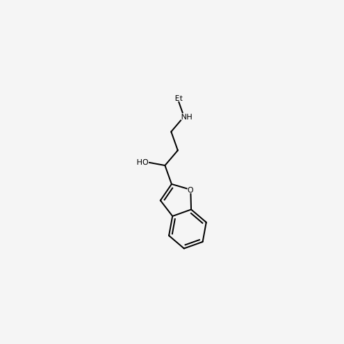 CCNCCC(O)c1cc2ccccc2o1